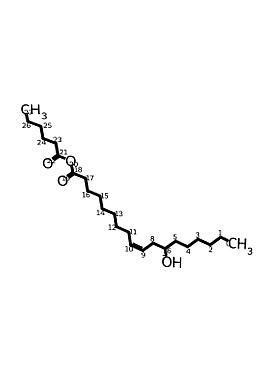 CCCCCCC(O)C/C=C\CCCCCCCC(=O)OC(=O)CCCCC